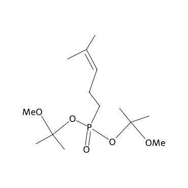 COC(C)(C)OP(=O)(CCC=C(C)C)OC(C)(C)OC